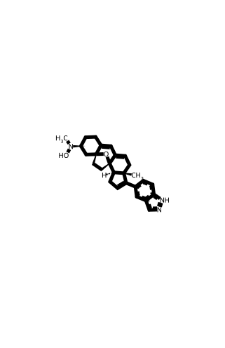 CN(O)[C@H]1CCC2=CC3=CC[C@]4(C)C(c5ccc6[nH]ncc6c5)=CC[C@H]4[C@@]34CC[C@]2(C1)O4